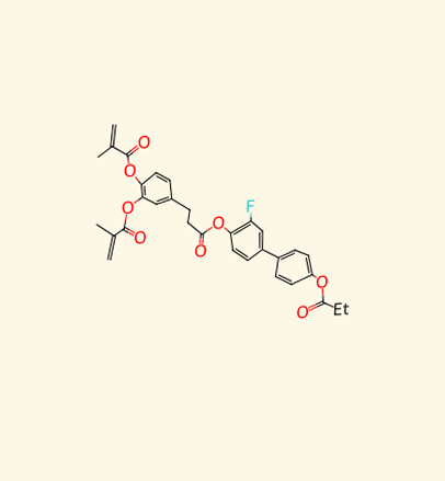 C=C(C)C(=O)Oc1ccc(CCC(=O)Oc2ccc(-c3ccc(OC(=O)CC)cc3)cc2F)cc1OC(=O)C(=C)C